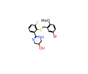 COc1ccc(Br)cc1CSc1c(F)cccc1C1=NCC(O)CN1